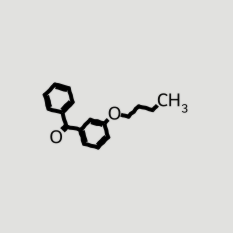 CCCCOc1cccc(C(=O)c2ccccc2)c1